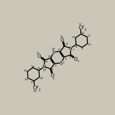 O=c1c2sc3c(=O)n(C4CCCC(C(F)(F)F)C4)c(=O)c3sc2c(=O)n1C1CCCC(C(F)(F)F)C1